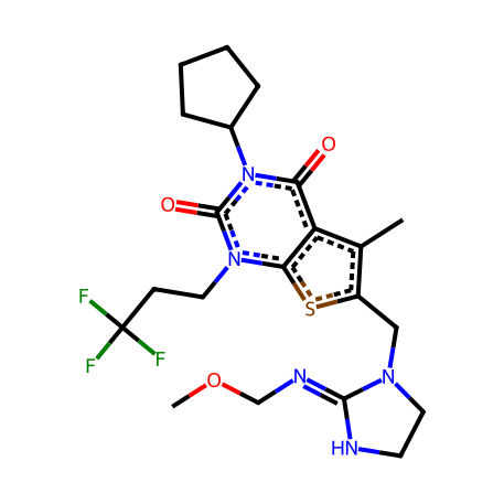 COC/N=C1\NCCN1Cc1sc2c(c1C)c(=O)n(C1CCCC1)c(=O)n2CCC(F)(F)F